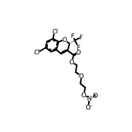 O=C(OCCOCCO[N+](=O)[O-])C1=Cc2cc(Cl)cc(Cl)c2O[C@@H]1C(F)(F)F